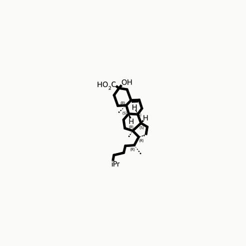 CC(C)CCC[C@@H](C)[C@H]1CC[C@H]2[C@@H]3CC=C4CC(O)(C(=O)O)CC[C@]4(C)[C@H]3CC[C@]12C